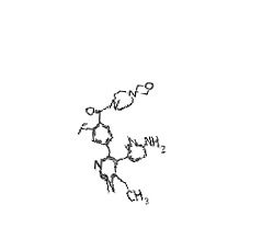 CCc1ncnc(-c2ccc(C(=O)N3CCN(C4COC4)CC3)c(F)c2)c1-c1ccc(N)nc1